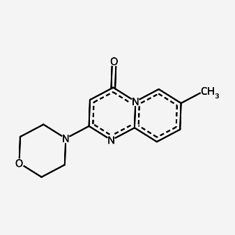 Cc1ccc2nc(N3CCOCC3)cc(=O)n2c1